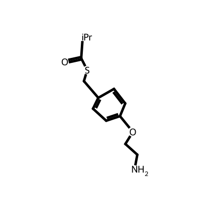 CC(C)C(=O)SCc1ccc(OCCN)cc1